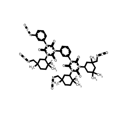 CC1(C)CC(n2c(=O)n(-c3cccc(-n4c(=O)n(-c5cccc(N=C=O)c5)c(=O)n(C5CC(C)(CN=C=O)CCC5(C)C)c4=O)c3)c(=O)n(C3CC(C)(CN=C=O)CCC3(C)C)c2=O)CC(C)(CN=C=O)C1